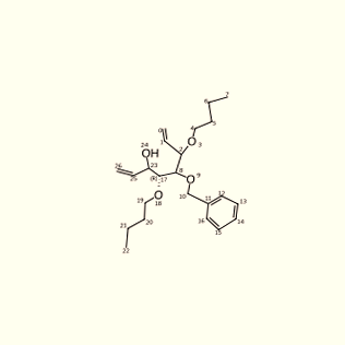 C=CC(OCCCC)C(OCc1ccccc1)[C@H](OCCCC)C(O)C=C